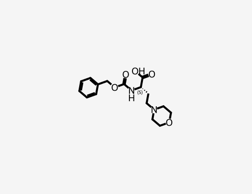 O=C(N[C@@H](CCN1CCOCC1)C(=O)O)OCc1ccccc1